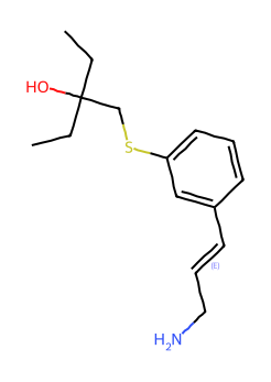 CCC(O)(CC)CSc1cccc(/C=C/CN)c1